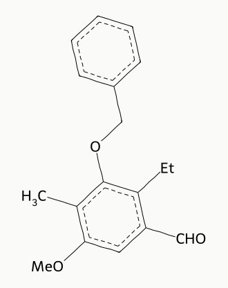 CCc1c(C=O)cc(OC)c(C)c1OCc1ccccc1